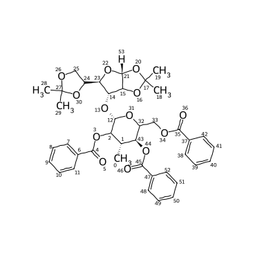 C[C@@H]1C(OC(=O)c2ccccc2)[C@H](O[C@H]2C3OC(C)(C)O[C@H]3O[C@@H]2C2COC(C)(C)O2)OC(COC(=O)c2ccccc2)[C@H]1OC(=O)c1ccccc1